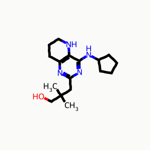 CC(C)(CO)Cc1nc2c(c(NC3CCCC3)n1)NCCC2